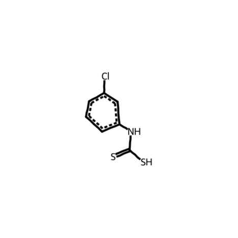 S=C(S)Nc1cccc(Cl)c1